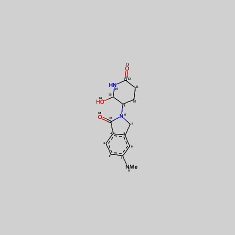 CNc1ccc2c(c1)CN(C1CCC(=O)NC1O)C2=O